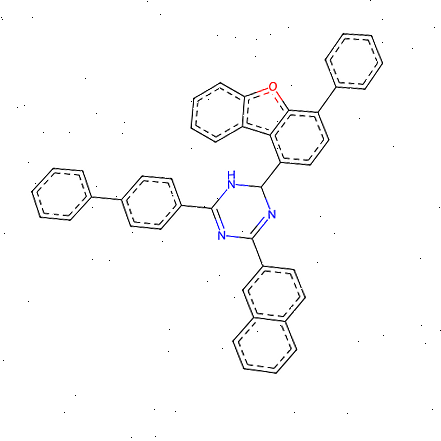 c1ccc(-c2ccc(C3=NC(c4ccc5ccccc5c4)=NC(c4ccc(-c5ccccc5)c5oc6ccccc6c45)N3)cc2)cc1